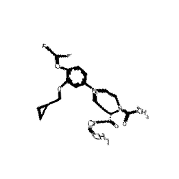 COC(=O)[C@@H]1CN(c2ccc(OC(F)F)c(OCC3CC3)c2)CCN1C(C)=O